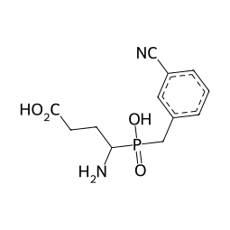 N#Cc1cccc(CP(=O)(O)C(N)CCC(=O)O)c1